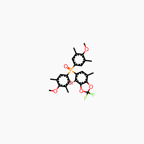 COc1c(C)cc(P(=O)(c2cc(C)c(OC)c(C)c2)c2cc(C)c3c(c2Br)OC(F)(F)O3)cc1C